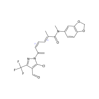 C=C(/C=C\C=C(/C)C(=O)N(C)c1ccc2c(c1)OCO2)n1nc(C(F)(F)F)c(C=O)c1Cl